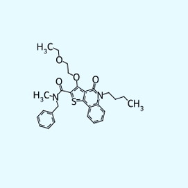 CCCCn1c(=O)c2c(OCCOCC)c(C(=O)N(C)Cc3ccccc3)sc2c2ccccc21